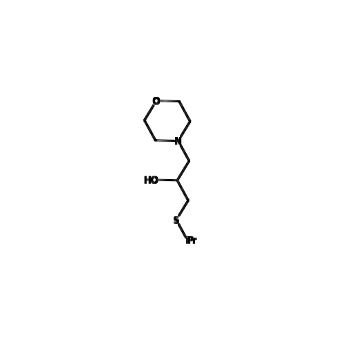 CC(C)SCC(O)CN1CCOCC1